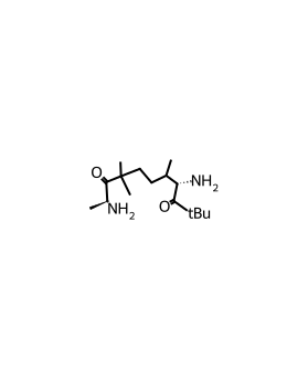 CC(CCC(C)(C)C(=O)[C@H](C)N)[C@H](N)C(=O)C(C)(C)C